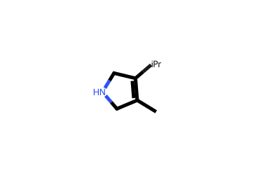 CC1=C(C(C)C)CNC1